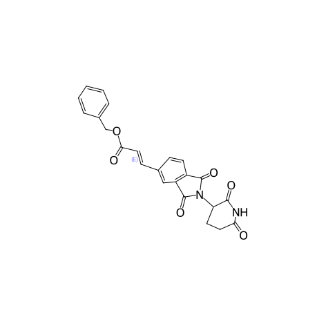 O=C1CCC(N2C(=O)c3ccc(/C=C/C(=O)OCc4ccccc4)cc3C2=O)C(=O)N1